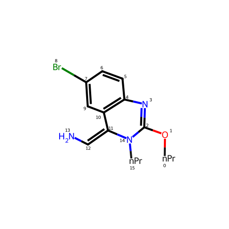 CCCOC1=Nc2ccc(Br)cc2/C(=C\N)N1CCC